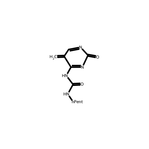 C=C1C=NC(=O)N=C1NC(=O)NCCCCC